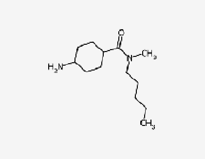 CCCCCN(C)C(=O)C1CCC(N)CC1